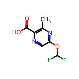 Cc1nc(OC(F)F)cnc1C(=O)O